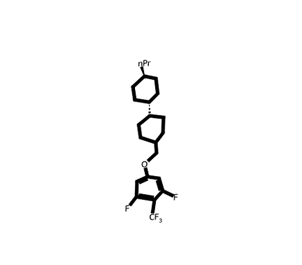 CCC[C@H]1CC[C@H](C2CCC(COc3cc(F)c(C(F)(F)F)c(F)c3)CC2)CC1